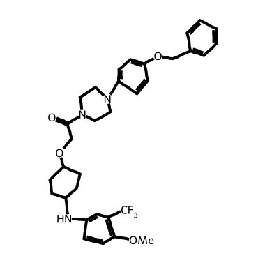 COc1ccc(NC2CCC(OCC(=O)N3CCN(c4ccc(OCc5ccccc5)cc4)CC3)CC2)cc1C(F)(F)F